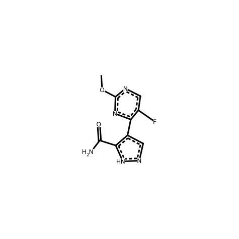 COc1ncc(F)c(-c2cn[nH]c2C(N)=O)n1